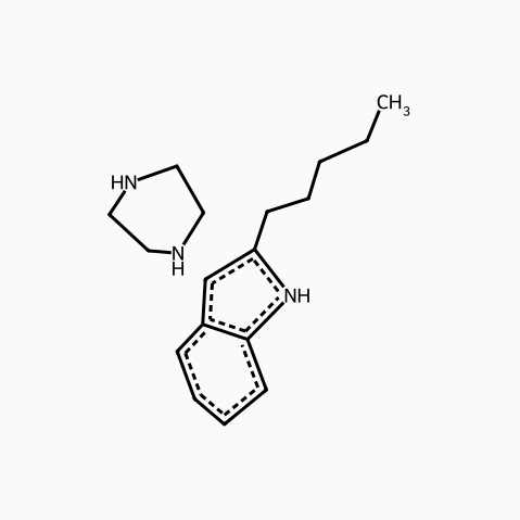 C1CNCCN1.CCCCCc1cc2ccccc2[nH]1